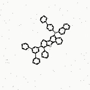 c1ccc(-c2ccc(N(c3ccc4ccccc4c3)c3cc4c5ccc(-c6cc(-c7ccccc7)cc(-c7ccccc7)c6)c(-c6ccccc6)c5oc4c4ccccc34)cc2)cc1